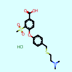 CN(C)CCSCc1ccc(Oc2ccc(C(=O)O)cc2S(C)(=O)=O)cc1.Cl